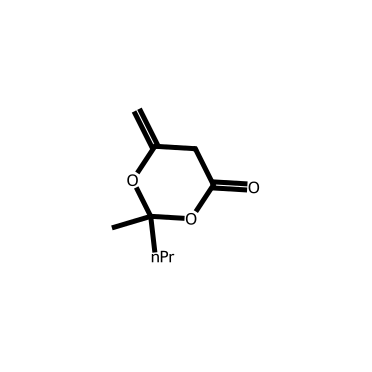 C=C1CC(=O)OC(C)(CCC)O1